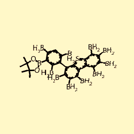 Bc1cc(B)c(-c2c(B)c(B)c(B)c3c2sc2c(B)c(B)c(B)c(B)c23)c(B)c1B1OC(C)(C)C(C)(C)O1